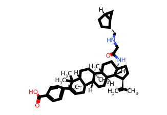 C=C(C)[C@@H]1CC[C@]2(NC(=O)CNC[C@@H]3CC[C@H]4CC34)CC[C@]3(C)[C@H](CC[C@@H]4[C@@]5(C)CC=C(c6ccc(C(=O)O)cc6)C(C)(C)[C@@H]5CC[C@]43C)[C@@H]12